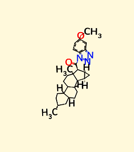 COc1ccc2c(c1)nnn2C(=O)[C@H]1[C@H]2C[C@H]2C2[C@@H]3CC[C@@H]4C[C@@H](C)CC[C@@H]4C3CC[C@@]21C